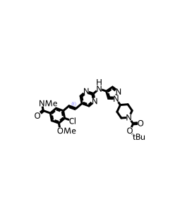 CNC(=O)c1cc(/C=C/c2cnc(Nc3cnn(C4CCN(C(=O)OC(C)(C)C)CC4)c3)nc2)c(Cl)c(OC)c1